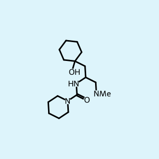 CNCC(CC1(O)CCCCC1)NC(=O)N1CCCCC1